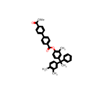 COC(=O)c1ccc(-c2ccc(C(=O)Oc3ccc(C(C)(c4ccccc4)c4ccc(C)c(C)c4)cc3C)cc2)cc1